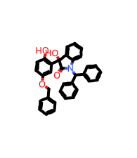 O=C1N(C(c2ccccc2)c2ccccc2)c2ccccc2C1(O)c1cc(OCc2ccccc2)ccc1O